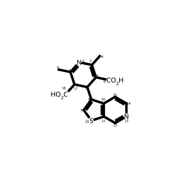 CC1=NC(C)=C(C(=O)O)C(c2csc3cnccc23)C1C(=O)O